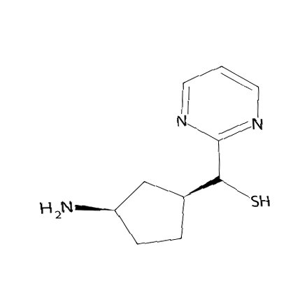 N[C@@H]1CC[C@H](C(S)c2ncccn2)C1